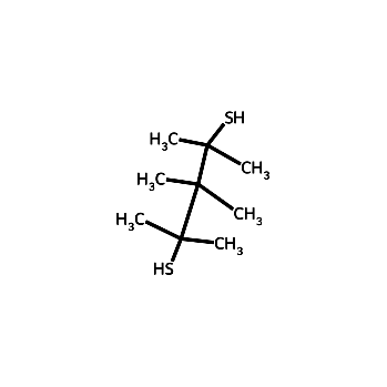 CC(C)(S)C(C)(C)C(C)(C)S